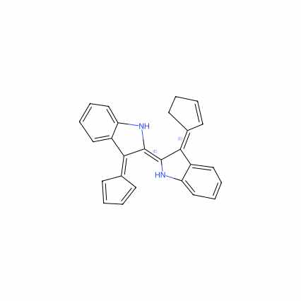 C1=CC(=c2/c(=c3\[nH]c4ccccc4\c3=C3/C=CCC3)[nH]c3ccccc23)C=C1